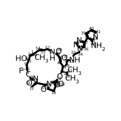 CC1=C\[C@@H](O)C[C@@H](F)Cc2nc(co2)C(=O)N2CCC[C@@H]2C(=O)O[C@H](C(C)C)[C@H](CC(=O)NCCn2cc(-c3cccnc3N)nn2)/C=C/C(=O)NC\C=C\1